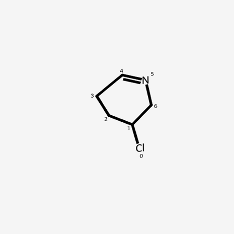 ClC1CCC=NC1